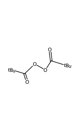 CC(C)(C)C(=O)OOC(=O)C(C)(C)C